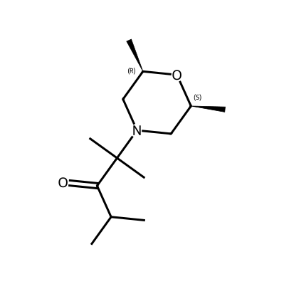 CC(C)C(=O)C(C)(C)N1C[C@@H](C)O[C@@H](C)C1